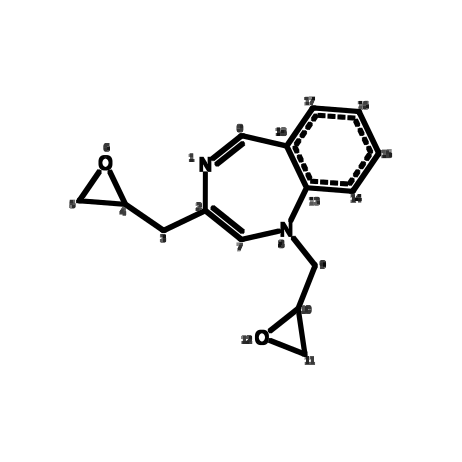 C1=NC(CC2CO2)=CN(CC2CO2)c2ccccc21